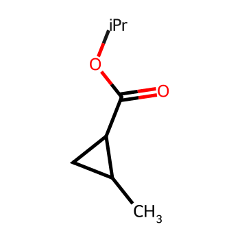 CC(C)OC(=O)C1CC1C